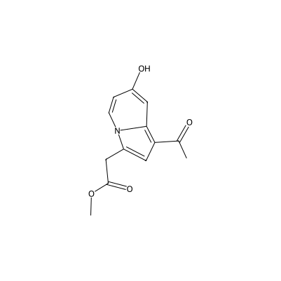 COC(=O)Cc1cc(C(C)=O)c2cc(O)ccn12